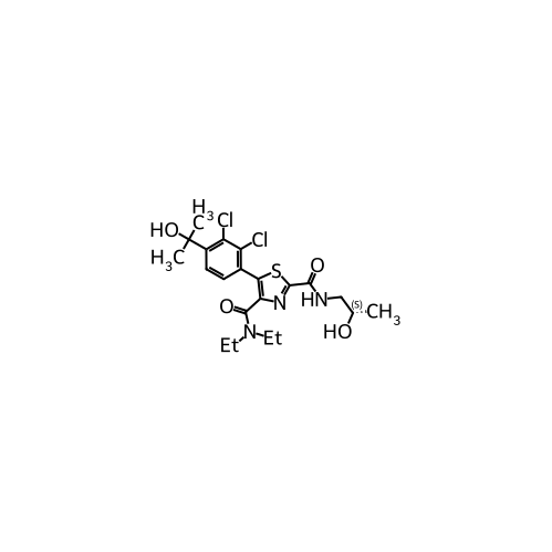 CCN(CC)C(=O)c1nc(C(=O)NC[C@H](C)O)sc1-c1ccc(C(C)(C)O)c(Cl)c1Cl